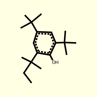 CCC(C)(C)c1cc(C(C)(C)C)cc(C(C)(C)C)c1O